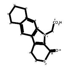 O=C(O)Cn1c2c(c3cc4c(cc31)CCCC4)CCSC2=O